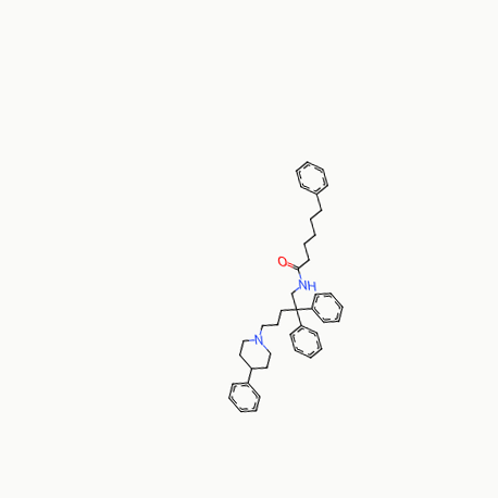 O=C(CCCCCc1ccccc1)NCC(CCCN1CCC(c2ccccc2)CC1)(c1ccccc1)c1ccccc1